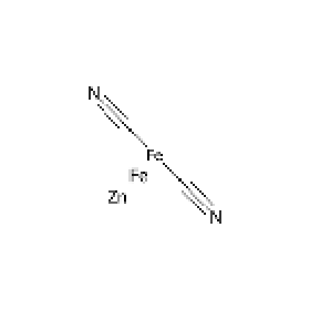 N#[C][Fe][C]#N.[Fe].[Zn]